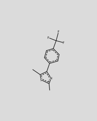 Cc1nc(-c2ccc(C(F)(F)F)cc2)c(C)s1